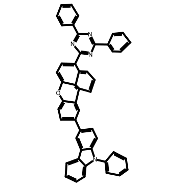 c1ccc(-c2nc(-c3ccccc3)nc(-c3ccc4c5c(cccc35)-c3cc(-c5ccc6c(c5)c5ccccc5n6-c5ccccc5)ccc3O4)n2)cc1